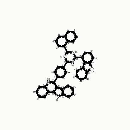 c1ccc2c(-c3nc(-c4ccc(-c5nc6ccccc6c6sc7ccccc7c56)cc4)nc(-c4cccc5oc6ccccc6c45)n3)cccc2c1